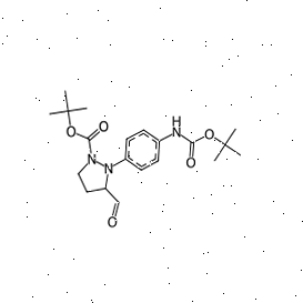 CC(C)(C)OC(=O)Nc1ccc(N2C(C=O)CCN2C(=O)OC(C)(C)C)cc1